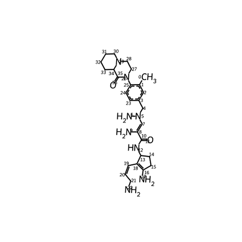 Cc1cc(CN(N)/C=C(\N)C(=O)NC2CCC(N)=C2/C=C\CN)ccc1N1CCN2CCCCC2C1=O